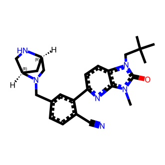 Cn1c(=O)n(CC(C)(C)C)c2ccc(-c3cc(CN4C[C@H]5C[C@@H]4CN5)ccc3C#N)nc21